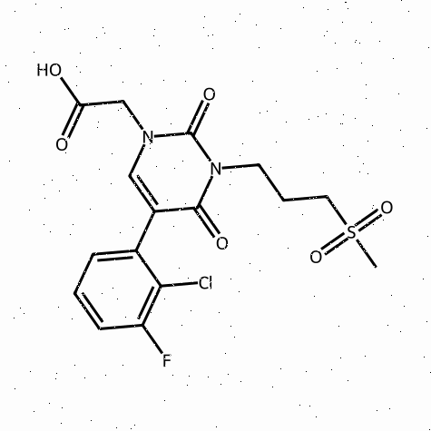 CS(=O)(=O)CCCn1c(=O)c(-c2cccc(F)c2Cl)cn(CC(=O)O)c1=O